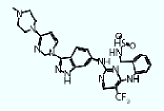 CN1CCN(C2=NCN(c3n[nH]c4cc(Nc5ncc(C(F)(F)F)c(Nc6ccccc6CN[SH](=O)=O)n5)ccc34)C=C2)CC1